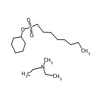 CCCCCCCCS(=O)(=O)OC1CCCCC1.CCN(C)CC